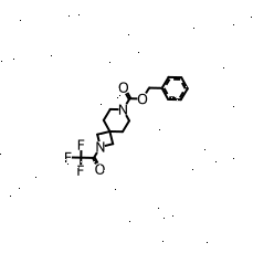 O=C(OCc1ccccc1)N1CCC2(CC1)CN(C(=O)C(F)(F)F)C2